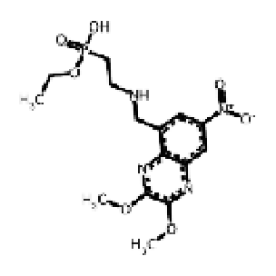 CCOP(=O)(O)CCNCc1cc([N+](=O)[O-])cc2nc(OC)c(OC)nc12